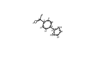 CC(=O)c1ccc(-n2nccn2)cc1